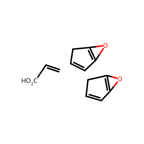 C1=CC2=C(C1)O2.C1=CC2=C(C1)O2.C=CC(=O)O